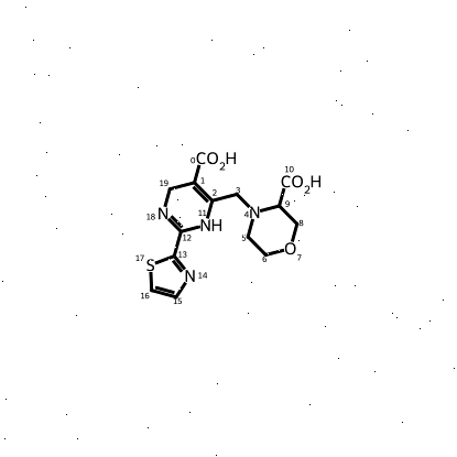 O=C(O)C1=C(CN2CCOCC2C(=O)O)NC(c2nccs2)=NC1